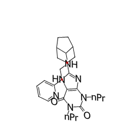 CCCn1c(=O)c2[nH]c(C3CC4CCC(C3)C4NCCc3ccccn3)nc2n(CCC)c1=O